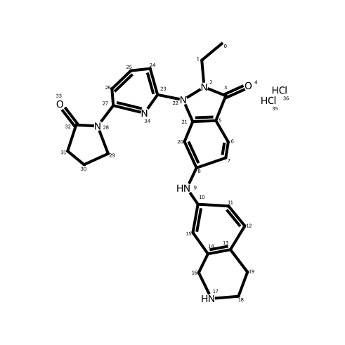 CCn1c(=O)c2ccc(Nc3ccc4c(c3)CNCC4)cc2n1-c1cccc(N2CCCC2=O)n1.Cl.Cl